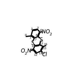 Cc1ccc([N+](=O)[O-])c2c1Sc1c([N+](=O)[O-])cc(Cl)c(C)c1S2